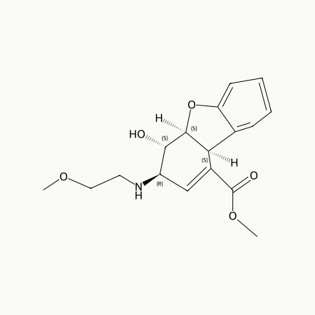 COCCN[C@@H]1C=C(C(=O)OC)[C@@H]2c3ccccc3O[C@@H]2[C@H]1O